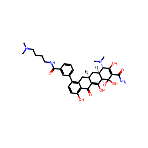 CN(C)CCCCNC(=O)c1cccc(-c2ccc(O)c3c2C[C@H]2C[C@H]4[C@H](N(C)C)C(O)=C(C(N)=O)C5(O)O[C@]45C(O)=C2C3=O)c1